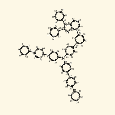 c1ccc(-c2ccc(-c3ccc(N(c4ccc(-c5ccc(-c6ccccc6)cc5)cc4)c4ccc(-c5cccc(-c6cccc7c6nc(-c6ccccc6)n7-c6ccccc6)c5)cc4)cc3)cc2)cc1